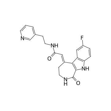 O=C(C=C1CCNC(=O)c2[nH]c3ccc(F)cc3c21)NCCc1cccnc1